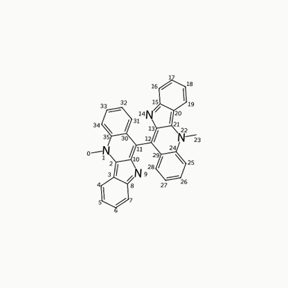 Cn1c2c3ccccc3nc-2c(-c2c3nc4ccccc4c-3n(C)c3ccccc23)c2ccccc21